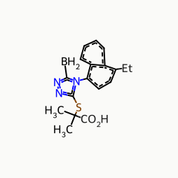 Bc1nnc(SC(C)(C)C(=O)O)n1-c1ccc(CC)c2ccccc12